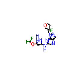 FC(F)Oc1cc(Nc2cnc3cnn(C[C@]4(F)CCOC4)c3n2)n[nH]1